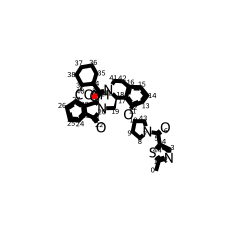 Cc1ncc(C(=O)N2CC[C@H](Oc3cccc4c3[C@@H](CN3C(=O)c5ccccc5C3=O)N(C(=O)C3CCCC[C@H]3C(=O)O)CC4)C2)s1